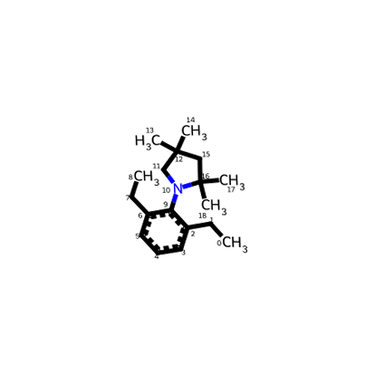 CCc1cccc(CC)c1N1CC(C)(C)CC1(C)C